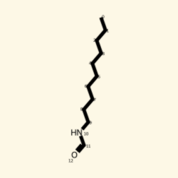 CCCCCCCCCCNC=O